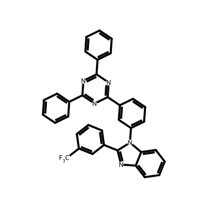 FC(F)(F)c1cccc(-c2nc3ccccc3n2-c2cccc(-c3nc(-c4ccccc4)nc(-c4ccccc4)n3)c2)c1